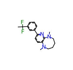 CN1CCCCN(C)c2nc(-c3cccc(C(C)(F)F)c3)ccc21